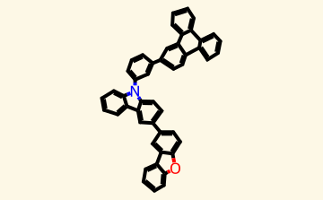 c1cc(-c2ccc3c4ccccc4c4ccccc4c3c2)cc(-n2c3ccccc3c3cc(-c4ccc5oc6ccccc6c5c4)ccc32)c1